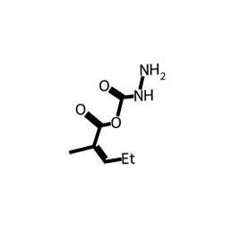 CCC=C(C)C(=O)OC(=O)NN